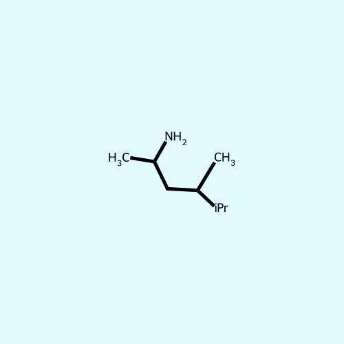 CC(N)CC(C)C(C)C